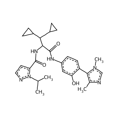 Cc1ncn(C)c1-c1ccc(NC(=O)C(NC(=O)c2ccnn2C(C)C)C(C2CC2)C2CC2)cc1O